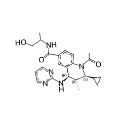 CC(=O)N1c2ccc(C(=O)NC(C)CO)cc2[C@H](Nc2ncccn2)[C@@H](C)[C@@H]1C1CC1